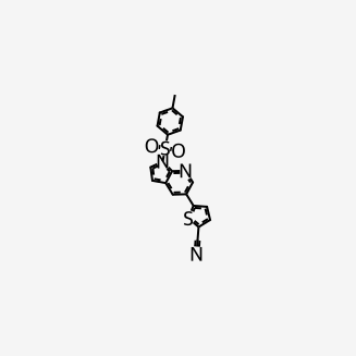 Cc1ccc(S(=O)(=O)n2ccc3cc(-c4ccc(C#N)s4)cnc32)cc1